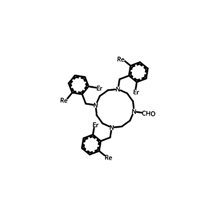 O=CN1CCN(Cc2[c]([Er])ccc[c]2[Re])CCN(Cc2[c]([Er])ccc[c]2[Re])CCN(Cc2[c]([Er])ccc[c]2[Re])CC1